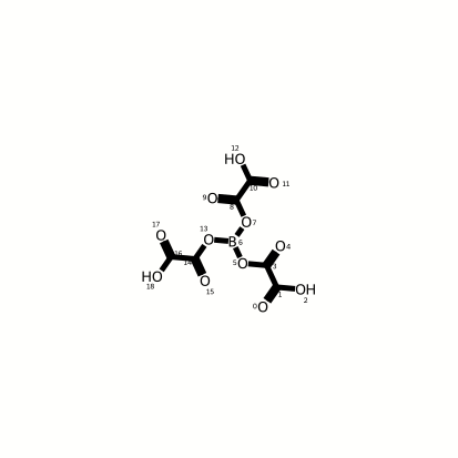 O=C(O)C(=O)OB(OC(=O)C(=O)O)OC(=O)C(=O)O